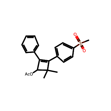 CC(=O)OC1C(c2ccccc2)=C(c2ccc(S(C)(=O)=O)cc2)C1(C)C